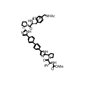 COC(=O)N[C@H](C(=O)N1CCCC1c1ncc(-c2ccc(-c3ccc(-c4cnc([C@@H]5CCCN5C(=O)[C@H](Cc5ccc(CNC(C)=O)cc5)NC(=O)O)[nH]4)cc3)cc2)[nH]1)C(C)C